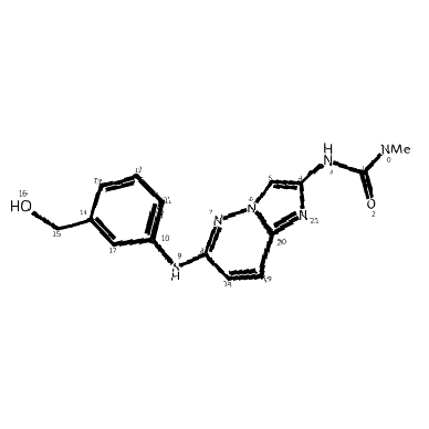 CNC(=O)Nc1cn2nc(Nc3cccc(CO)c3)ccc2n1